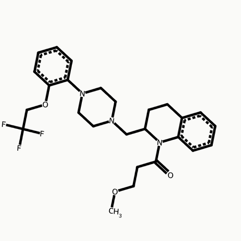 COCCC(=O)N1c2ccccc2CCC1CN1CCN(c2ccccc2OCC(F)(F)F)CC1